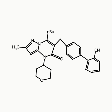 CCCCc1c(Cc2ccc(-c3ccccc3C#N)cc2)c(=O)n(C2CCOCC2)c2cc(C)nn12